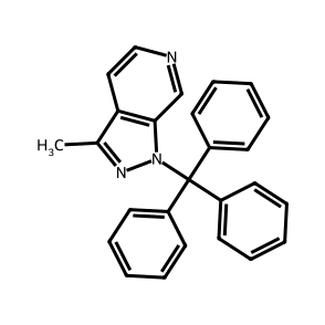 Cc1nn(C(c2ccccc2)(c2ccccc2)c2ccccc2)c2cnccc12